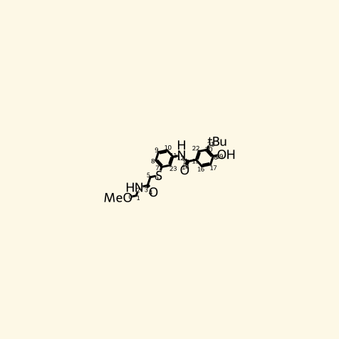 COCNC(=O)CSc1cccc(NC(=O)c2ccc(O)c(C(C)(C)C)c2)c1